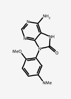 CNc1ccc(OC)c(-n2c(=O)[nH]c3c(N)ncnc32)c1